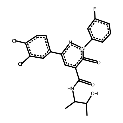 CC(O)C(C)NC(=O)c1cc(-c2ccc(Cl)c(Cl)c2)nn(-c2cccc(F)c2)c1=O